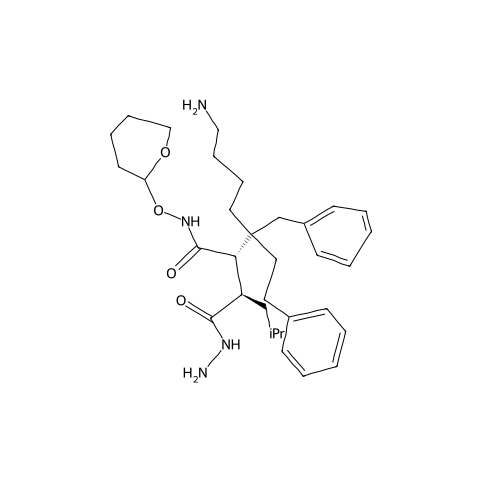 CC(C)C[C@@H](C(=O)NN)[C@H](C(=O)NOC1CCCCO1)C(CCCCN)(CCc1ccccc1)Cc1ccccc1